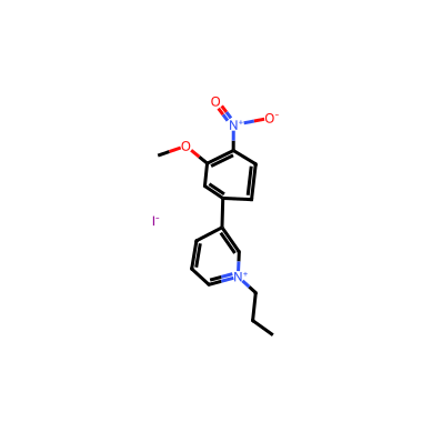 CCC[n+]1cccc(-c2ccc([N+](=O)[O-])c(OC)c2)c1.[I-]